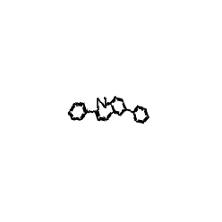 c1ccc(-c2ccc3nc(-c4ccccc4)ccc3c2)cc1